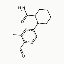 Cc1cc(N2CCCCC2C(N)=O)ccc1C=O